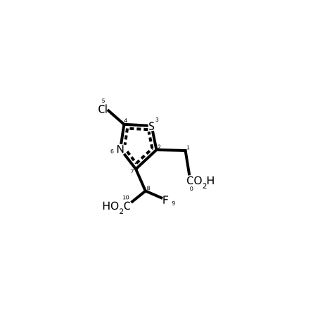 O=C(O)Cc1sc(Cl)nc1C(F)C(=O)O